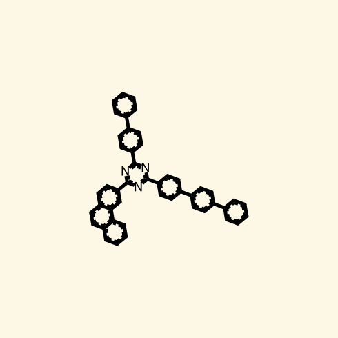 c1ccc(-c2ccc(-c3ccc(-c4nc(-c5ccc(-c6ccccc6)cc5)nc(-c5ccc6ccc7ccccc7c6c5)n4)cc3)cc2)cc1